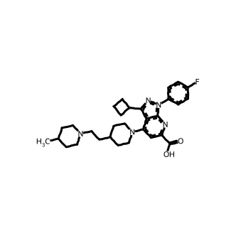 CC1CCN(CCC2CCN(c3cc(C(=O)O)nc4c3c(C3CCC3)nn4-c3ccc(F)cc3)CC2)CC1